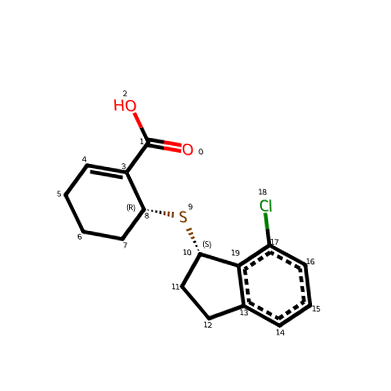 O=C(O)C1=CCCC[C@H]1S[C@H]1CCc2cccc(Cl)c21